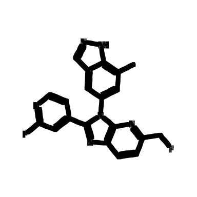 Cc1cc(-n2c(-c3ccnc(F)c3)nc3ccc(CF)nc32)cc2cn[nH]c12